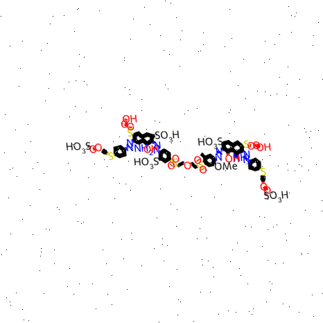 COc1cc(S(=O)(=O)CCOCCS(=O)(=O)c2ccc(N=Nc3c(S(=O)(=O)O)cc4cc(SOOO)c(N=Nc5ccc(SC#COOS(=O)(=O)O)cc5)c(N)c4c3O)c(S(=O)(=O)O)c2)c(C)cc1N=Nc1c(S(=O)(=O)O)cc2cc(SOOO)c(N=Nc3ccc(SC#COOS(=O)(=O)O)cc3)c(N)c2c1O